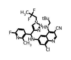 Cc1nc(F)ccc1C(Nc1cc(Cl)c2ncc(C#N)c(NCC(C)(C)C)c2c1)c1cn(CC(C)(F)F)nn1